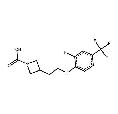 O=C(O)N1CC(CCOc2ccc(C(F)(F)F)cc2F)C1